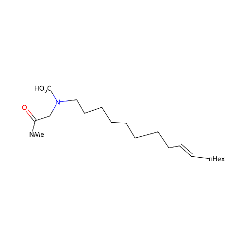 CCCCCCC=CCCCCCCCCN(CC(=O)NC)C(=O)O